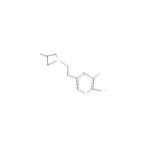 COc1ncc(CCN2CC(F)C2)cc1F